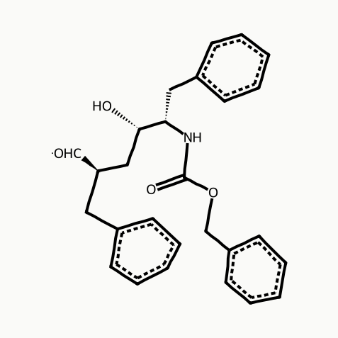 O=[C][C@H](Cc1ccccc1)C[C@H](O)[C@H](Cc1ccccc1)NC(=O)OCc1ccccc1